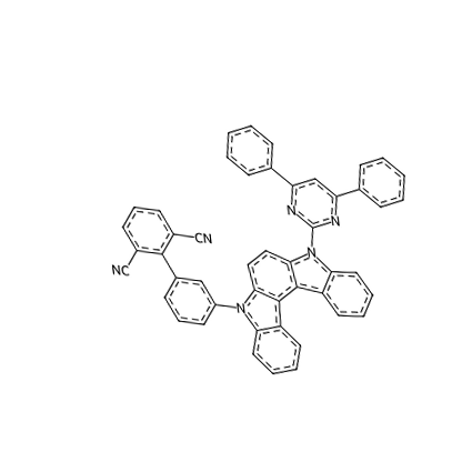 N#Cc1cccc(C#N)c1-c1cccc(-n2c3ccccc3c3c4c5ccccc5n(-c5nc(-c6ccccc6)cc(-c6ccccc6)n5)c4ccc32)c1